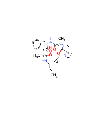 CCCCNC(=O)[C@H](C)C[C@H](O)[C@H](Cc1ccccc1)NC(=O)[C@H](C)N1CC[C@@]2(CCCN2CC2CC2)C1=O